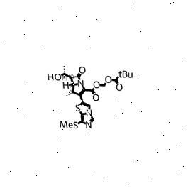 CSc1ncn2cc(C3=C(C(=O)OCOC(=O)C(C)(C)C)N4C(=O)[C@H]([C@@H](C)O)[C@H]4[C@H]3C)sc12